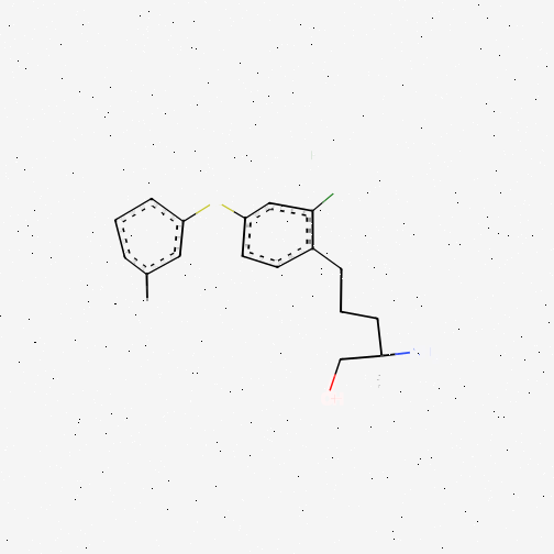 CCc1cccc(Sc2ccc(CCC[C@@](C)(N)CO)c(Cl)c2)c1.Cl